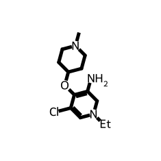 CCN1C=C(Cl)C(OC2CCN(C)CC2)=C(N)C1